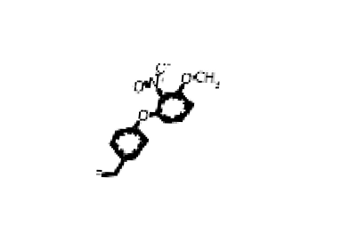 COc1cccc(Oc2ccc(CF)cc2)c1[N+](=O)[O-]